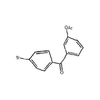 CC(=O)Oc1cccc(C(=O)c2ccc(Br)cc2)c1